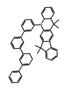 CC1(C)c2ccccc2-c2cc3c(cc21)N(c1cccc(-c2cccc(C4=CC(c5ccccc5)=CCC4)c2)c1)C1C=CC=CC1C3(C)C